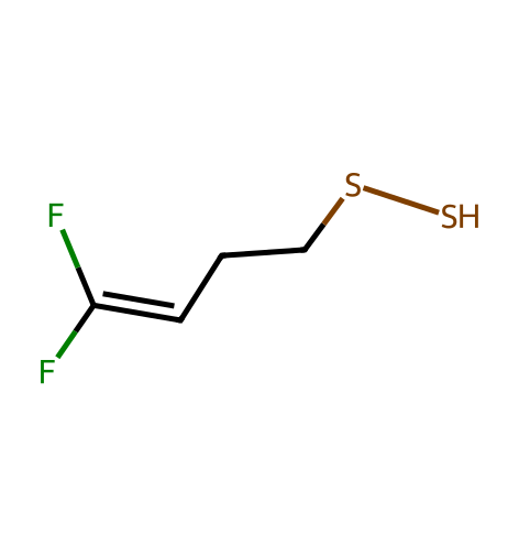 FC(F)=CCCSS